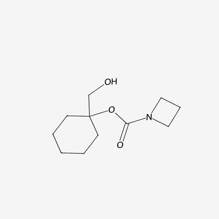 O=C(OC1(CO)CCCCC1)N1CCC1